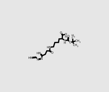 CC(C)(C)OC(=O)NC(CCCCNC(=O)CCC(=N)/N=N\C=N)C(=O)O